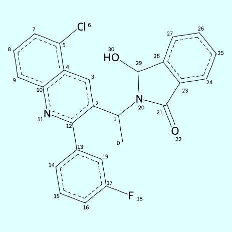 CC(c1cc2c(Cl)cccc2nc1-c1cccc(F)c1)N1C(=O)c2ccccc2C1O